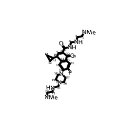 CNCCNCNC(=O)C1=CC(C2CC2)c2cc(N3CCN(CNCCNC)CC3)c(F)cc2C1=O